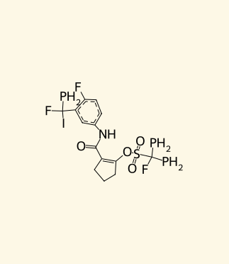 O=C(Nc1ccc(F)c(C(F)(P)I)c1)C1=C(OS(=O)(=O)C(F)(P)P)CCC1